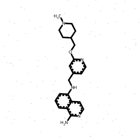 CN1CCC(COc2cc(CNc3cccc4c(N)nccc34)ccn2)CC1